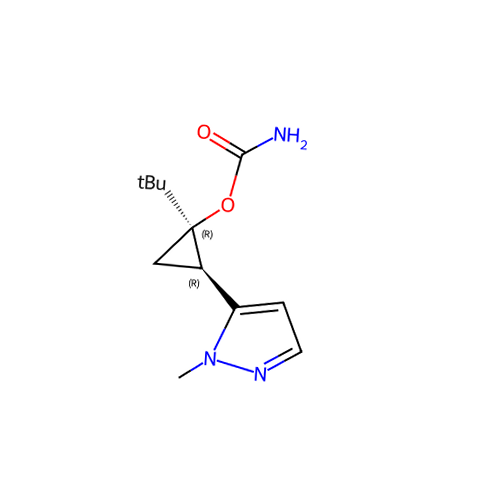 Cn1nccc1[C@H]1C[C@]1(OC(N)=O)C(C)(C)C